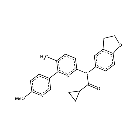 COc1ccc(-c2nc(N(C(=O)C3CC3)c3ccc4c(c3)CCO4)ccc2C)cn1